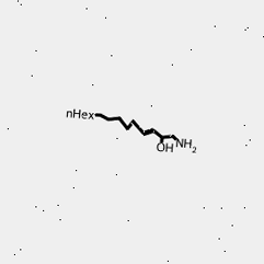 CCCCCCCCCCCC=CC(O)CN